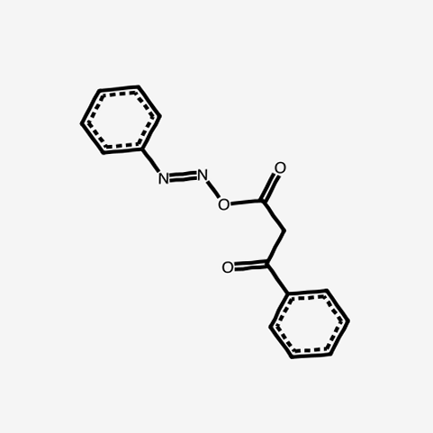 O=C(CC(=O)c1ccccc1)ON=Nc1ccccc1